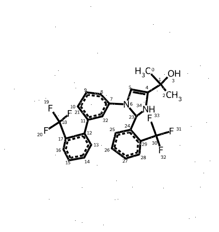 CC(C)(O)C1=CN(c2cccc(-c3ccccc3C(F)(F)F)c2)C(c2ccccc2C(F)(F)F)N1